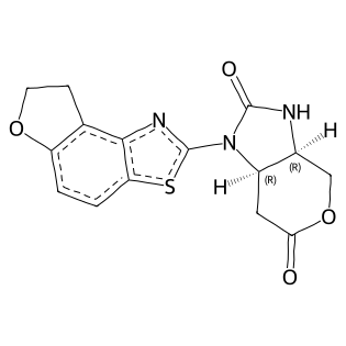 O=C1C[C@@H]2[C@H](CO1)NC(=O)N2c1nc2c3c(ccc2s1)OCC3